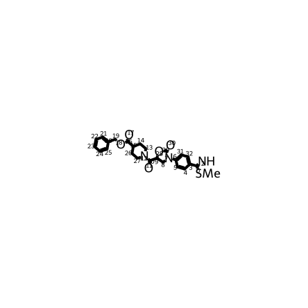 CSC(=N)c1ccc(N2CC(C(=O)N3CCC(C(=O)OCc4ccccc4)CC3)OC2=O)cc1